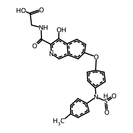 Cc1ccc(N(c2ccc(Oc3ccc4c(O)c(C(=O)NCC(=O)O)ncc4c3)cc2)[SH](=O)=O)cc1